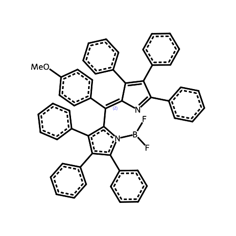 COc1ccc(/C(=C2/N=C(c3ccccc3)C(c3ccccc3)=C2c2ccccc2)c2c(-c3ccccc3)c(-c3ccccc3)c(-c3ccccc3)n2B(F)F)cc1